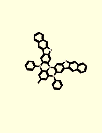 Cc1cc2c3c(c1)N(c1ccccc1)c1cc4c(cc1B3c1cc3oc5cc6ccccc6cc5c3cc1N2c1ccccc1)oc1cc2ccccc2cc14